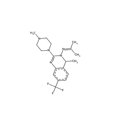 CC(C)=NN1C(N2CCN(C)CC2)=Nc2cc(C(F)(F)F)ccc2C1C